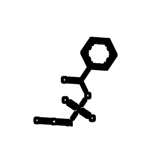 O=C=NS(=O)(=O)OC(=O)c1ccccc1